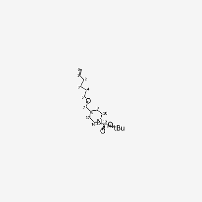 C=CCCCCOCC1CCN(C(=O)OC(C)(C)C)CC1